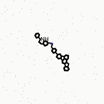 C1=CC(c2ccccc2)Nc2cc(/C=C\Cc3ccc(-c4ccc5c(c4)-c4cccc6c7c(cc-5c46)-c4ccccc4C7)cc3)ccc21